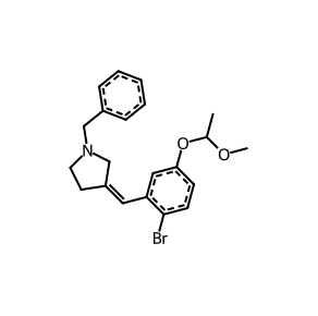 COC(C)Oc1ccc(Br)c(C=C2CCN(Cc3ccccc3)C2)c1